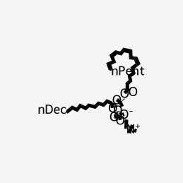 CCCCC/C=C\C/C=C\C/C=C\C/C=C\CCCCCC(=O)OC[C@H](COP(=O)([O-])OCC[N+](C)(C)C)OC(=O)CCCCCCCCCCCCCCCCCCCC